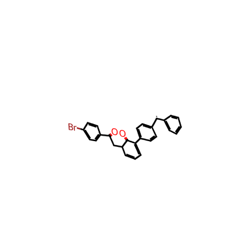 O=C(CC1C=CC=C(c2ccc([CH]c3ccccc3)cc2)C1=O)c1ccc(Br)cc1